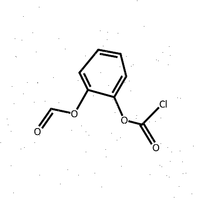 O=COc1ccccc1OC(=O)Cl